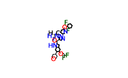 Cc1cc(Oc2c(F)cccc2F)ncc1-n1ncc(C(=O)c2cc3cc(OCC(F)F)c(C4CCOCC4)cc3[nH]2)c1N